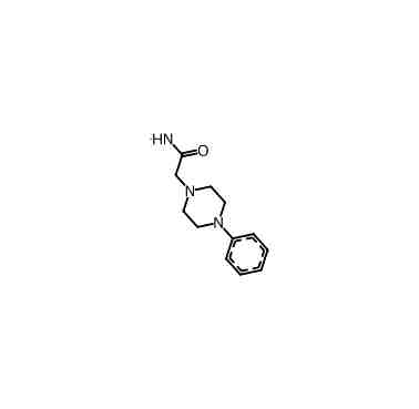 [NH]C(=O)CN1CCN(c2ccccc2)CC1